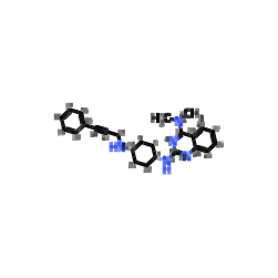 CN(C)c1nc(N[C@H]2CC[C@@H](NCC#Cc3ccccc3)CC2)nc2ccccc12